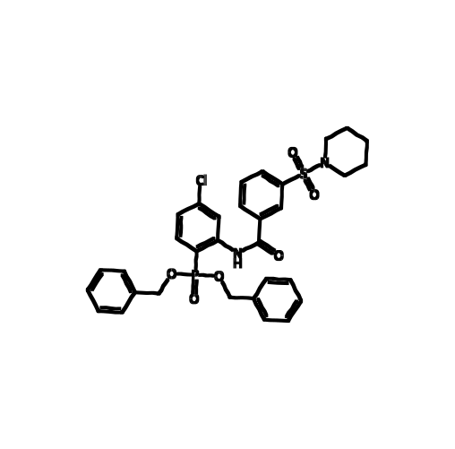 O=C(Nc1cc(Cl)ccc1P(=O)(OCc1ccccc1)OCc1ccccc1)c1cccc(S(=O)(=O)N2CCCCC2)c1